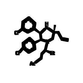 C=CC[C@@]1(C)CN([C@@H](CC)CCC(C)=O)[C@@H](c2ccc(Cl)cc2)[C@@H](c2cccc(Cl)c2)N1